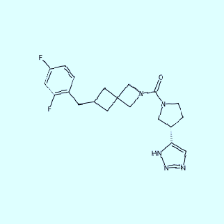 O=C(N1CC[C@H](c2cnn[nH]2)C1)N1CC2(CC(Cc3ccc(F)cc3F)C2)C1